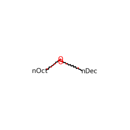 CCCCCCCCC=CCCCCCCCCCC(=O)OCCCCCCCCCCCCCCCCCCCCCCCCCC